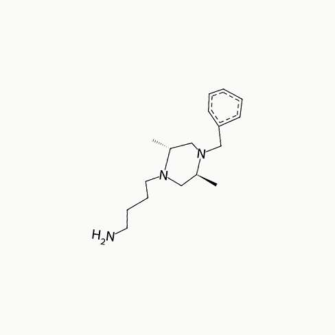 C[C@@H]1CN(Cc2ccccc2)[C@@H](C)CN1CCCCN